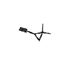 C#CC1CC1(C)C